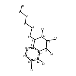 CCCCCCC1c2ccc(C)c(C)c2C(C)C(C)C1C